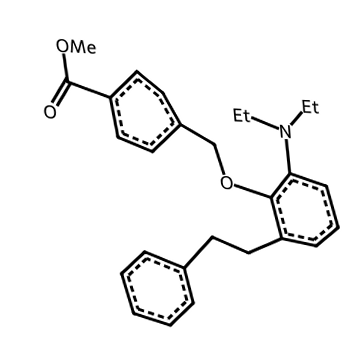 CCN(CC)c1cccc(CCc2ccccc2)c1OCc1ccc(C(=O)OC)cc1